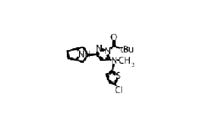 CN(c1ccc(Cl)s1)c1cc(C2CC3CCC(C2)N3)nn1C(=O)C(C)(C)C